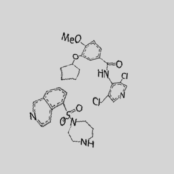 COc1ccc(C(=O)Nc2c(Cl)cncc2Cl)cc1OC1CCCC1.O=S(=O)(c1cccc2cnccc12)N1CCCNCC1